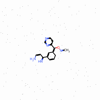 C=NO/C(=C1/C=C(C(=N)/C=C\N)C=CC1)c1ccncn1